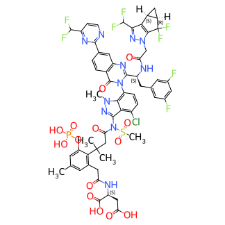 Cc1cc(CC(=O)N[C@@H](CC(=O)O)C(=O)O)c(C(C)(C)CC(=O)N(c2nn(C)c3c(-n4c([C@H](Cc5cc(F)cc(F)c5)NC(=O)Cn5nc(C(F)F)c6c5C(F)(F)[C@@H]5C[C@H]65)nc5cc(-c6nccc(C(F)F)n6)ccc5c4=O)ccc(Cl)c23)S(C)(=O)=O)c(OP(=O)(O)O)c1